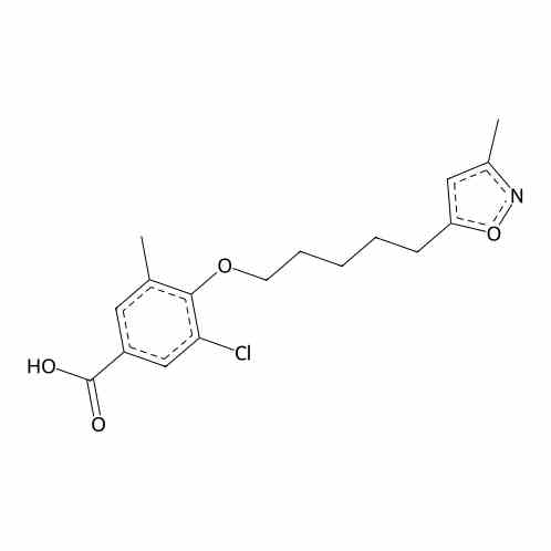 Cc1cc(CCCCCOc2c(C)cc(C(=O)O)cc2Cl)on1